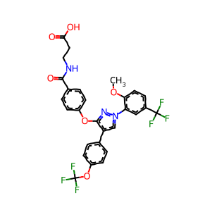 COc1ccc(C(F)(F)F)cc1-n1cc(-c2ccc(OC(F)(F)F)cc2)c(Oc2ccc(C(=O)NCCC(=O)O)cc2)n1